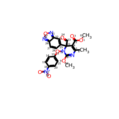 COC(=O)C1=C(C)N=C(OC)N(Oc2ccc([N+](=O)[O-])cc2)C1(C=O)c1ccc2nonc2c1